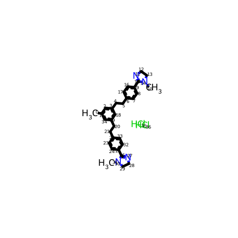 Cc1cc(CCc2ccc(C3=NCCN3C)cc2)cc(CCc2ccc(C3=NCCN3C)cc2)c1.Cl.Cl